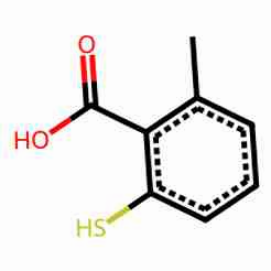 Cc1cccc(S)c1C(=O)O